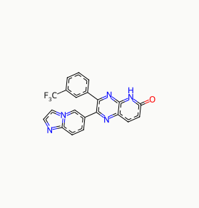 O=c1ccc2nc(-c3ccc4nccn4c3)c(-c3cccc(C(F)(F)F)c3)nc2[nH]1